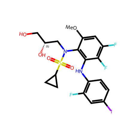 COc1cc(F)c(F)c(Nc2ccc(I)cc2F)c1N(C[C@H](O)CO)S(=O)(=O)C1CC1